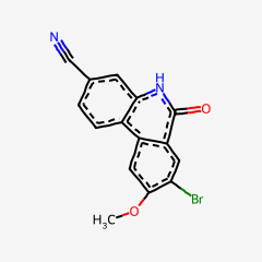 COc1cc2c(cc1Br)c(=O)[nH]c1cc(C#N)ccc12